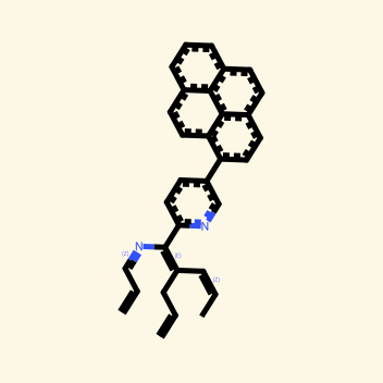 C=C\C=N/C(=C(/C=C\C)CC=C)c1ccc(-c2ccc3ccc4cccc5ccc2c3c45)cn1